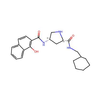 O=C(N[C@@H]1CN[C@H](C(=O)NCC2CCCCC2)C1)c1ccc2ccccc2c1O